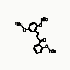 CCCCOc1ccc(OCCCC)c(/C=C/C(=O)c2ccccc2OCCCC)c1